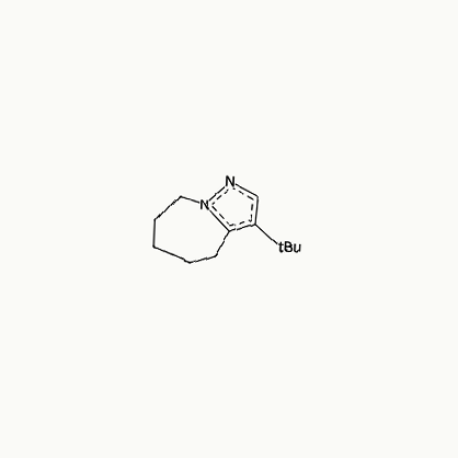 CC(C)(C)c1cnn2c1CCCCC2